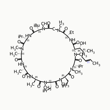 C/C=C/C[C@@H](C)[C@@H](O)[C@H]1C(=O)N[C@@H](CC)C(=O)N(C)CC(=O)N(C)[C@@H](C(C)CC)C(=O)N[C@@H](C(C)C)C(=O)N(C)[C@@H](C)C(=O)N[C@@H](C)C(=O)N[C@H](C)C(=O)N(C)[C@@H](CC(C)C)C(=O)N(C)[C@H](CC(C)C)C(=O)N(C)[C@@H](C(C)C)C(=O)N1C